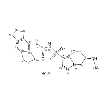 CCN[C@@H]1COc2c(S(=O)(=O)NC(=O)Nc3c4c(cc5c3CCC5)CCC4)cnn2C1.Cl